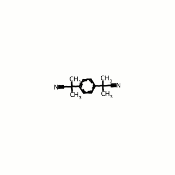 CC(C)(C#N)c1ccc(C(C)(C)C#N)cc1